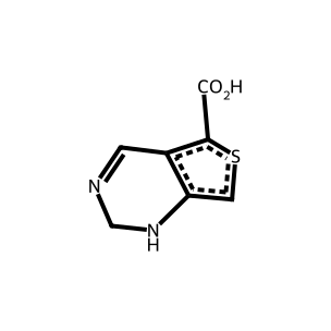 O=C(O)c1scc2c1C=NCN2